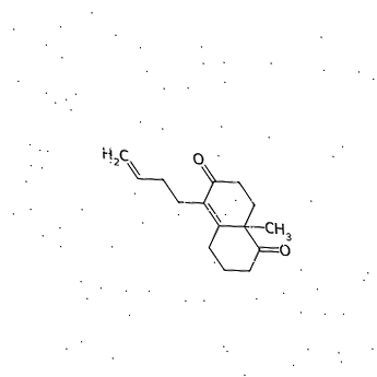 C=CCCC1=C2CCCC(=O)C2(C)CCC1=O